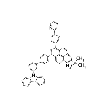 CC(C)(C)c1cc2ccc3c(-c4ccc(-c5cccc(-n6c7ccccc7c7ccccc76)c5)cc4)cc(-c4ccc(-c5ccccn5)cc4)c4ccc(c1)c2c34